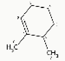 CC1=CCCCC1C